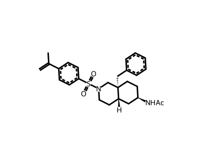 C=C(C)c1ccc(S(=O)(=O)N2CC[C@H]3C[C@H](NC(C)=O)CC[C@]3(Cc3ccccc3)C2)cc1